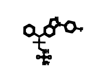 CCCS(=O)(=O)NCC(C)(C)[C@@H](c1ccccc1)c1ccc2c(cnn2-c2ccc(F)cc2)c1